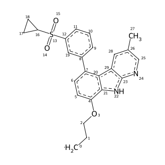 [CH2]CCOc1ccc(-c2cccc(S(=O)(=O)C3CC3)c2)c2c1[nH]c1ncc(C)cc12